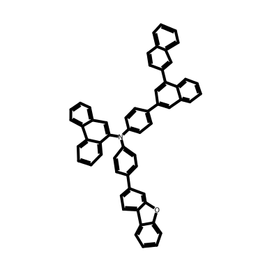 c1ccc2cc(-c3cc(-c4ccc(N(c5ccc(-c6ccc7c(c6)oc6ccccc67)cc5)c5cc6ccccc6c6ccccc56)cc4)cc4ccccc34)ccc2c1